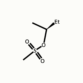 CC[C@H](C)OS(C)(=O)=O